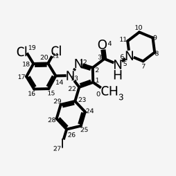 Cc1c(C(=O)NN2CCCCC2)nn(-c2cccc(Cl)c2Cl)c1-c1ccc(I)cc1